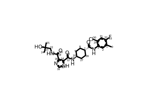 Cc1cc(NC(=O)[C@H]2CC[C@H](NC(=O)c3[nH]cnc3C(=O)NCC(C)(C)O)CC2)c(Cl)cc1F